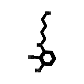 OCCCCNc1cccc(O)c1O